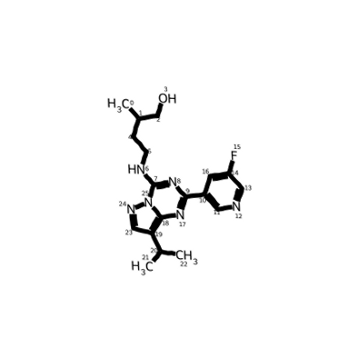 CC(CO)CCNc1nc(-c2cncc(F)c2)nc2c(C(C)C)cnn12